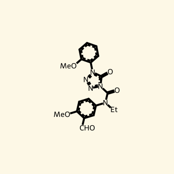 CCN(C(=O)n1nnn(-c2ccccc2OC)c1=O)c1ccc(OC)c(C=O)c1